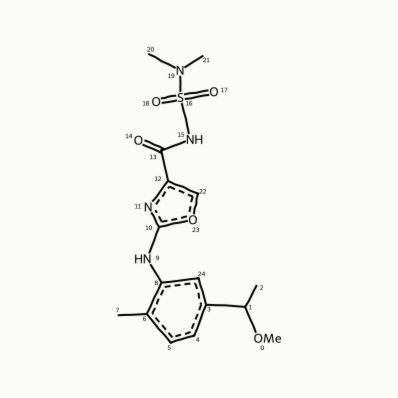 COC(C)c1ccc(C)c(Nc2nc(C(=O)NS(=O)(=O)N(C)C)co2)c1